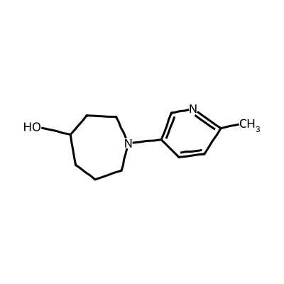 Cc1ccc(N2CCCC(O)CC2)cn1